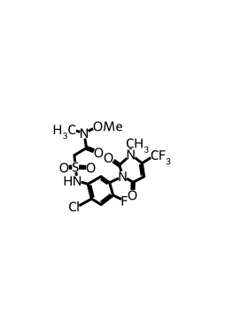 CON(C)C(=O)CS(=O)(=O)Nc1cc(-n2c(=O)cc(C(F)(F)F)n(C)c2=O)c(F)cc1Cl